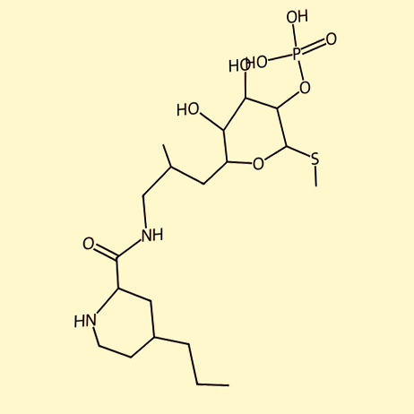 CCCC1CCNC(C(=O)NCC(C)CC2OC(SC)C(OP(=O)(O)O)C(O)C2O)C1